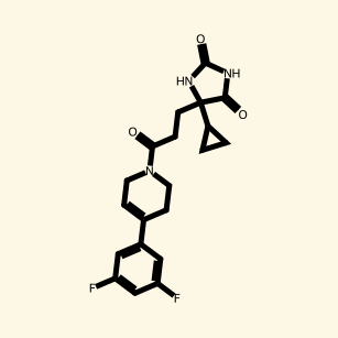 O=C1NC(=O)C(CCC(=O)N2CC=C(c3cc(F)cc(F)c3)CC2)(C2CC2)N1